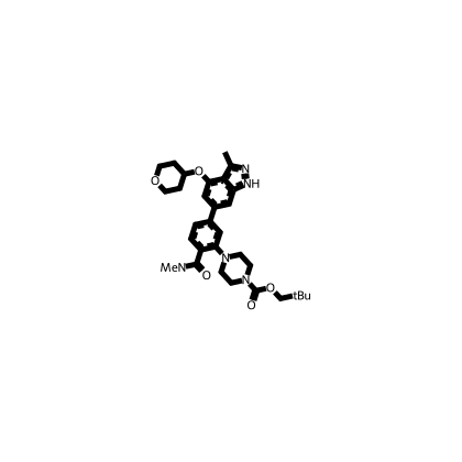 CNC(=O)c1ccc(-c2cc(OC3CCOCC3)c3c(C)n[nH]c3c2)cc1N1CCN(C(=O)OCC(C)(C)C)CC1